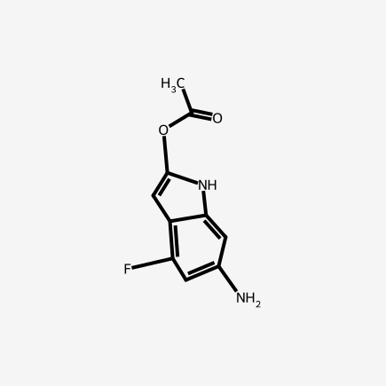 CC(=O)Oc1cc2c(F)cc(N)cc2[nH]1